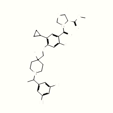 COC(=O)[C@@H]1[C@@H](C)OCN1C(=O)c1cc(C2CC2)c(OCC2(F)CCN(C(C)c3cc(Cl)cc(Cl)c3)CC2)cc1F